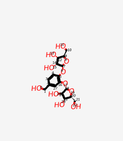 OCc1ccc(O[C@@H]2O[C@H](CO)[C@@H](O)[C@H]2O)c(O[C@@H]2O[C@H](CO)[C@H](O)C2O)c1